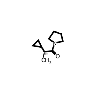 C[C@H](C(=O)N1CCCC1)C1CC1